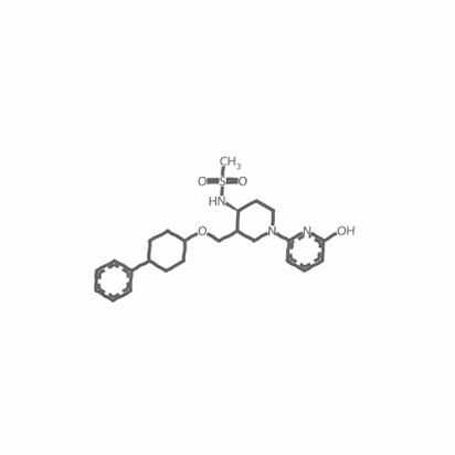 CS(=O)(=O)N[C@H]1CCN(c2cccc(O)n2)CC1COC1CCC(c2ccccc2)CC1